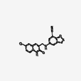 N#Cc1cc(NCc2cc3cc(Cl)ccc3[nH]c2=O)cc2cnoc12